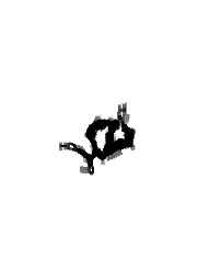 O=C(O)c1ccc2[nH][c]cc2c1